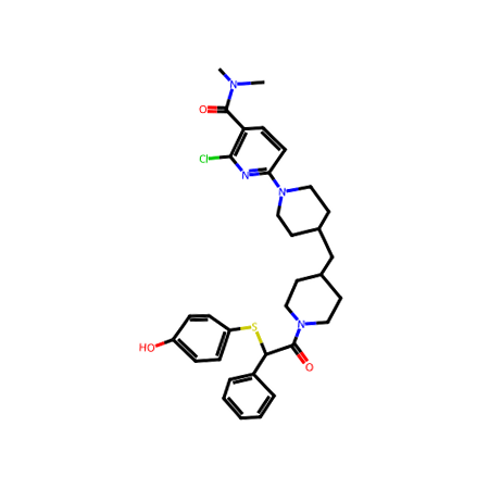 CN(C)C(=O)c1ccc(N2CCC(CC3CCN(C(=O)C(Sc4ccc(O)cc4)c4ccccc4)CC3)CC2)nc1Cl